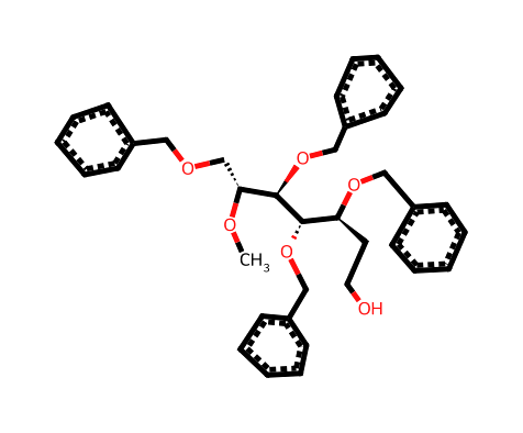 CO[C@H](COCc1ccccc1)[C@@H](OCc1ccccc1)[C@@H](OCc1ccccc1)[C@H](CCO)OCc1ccccc1